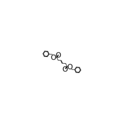 O=C(C/C=C/CC(=O)OCc1ccccc1)OCc1ccccc1